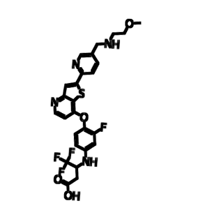 COCCNCc1ccc(-c2cc3nccc(Oc4ccc(NC(CC(=O)O)C(F)(F)F)cc4F)c3s2)nc1